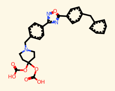 O=C(O)OC1(OC(=O)O)CCN(Cc2ccc(-c3noc(-c4ccc(Cc5ccccc5)cc4)n3)cc2)CC1